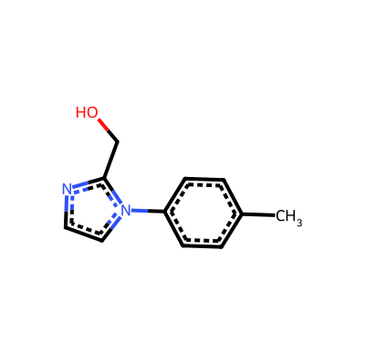 Cc1ccc(-n2ccnc2CO)cc1